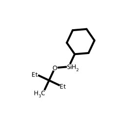 CCC(C)(CC)O[SiH2]C1CCCCC1